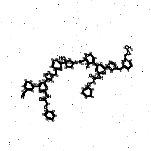 COCc1cccc(Cn2cc(-c3cc(-c4cccc(C#[N+]C5CCC(O)(c6cccc(Cn7cc(-c8cc(-c9cccc(C#N)c9)nc(NC(=O)COc9ccccc9)n8)nn7)n6)C5)c4F)nc(NC(=O)COc4ccccc4)n3)nn2)n1